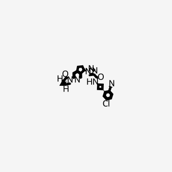 N#Cc1ccc(Cl)cc1[C@H]1C[C@@H](NC(=O)c2cn([C@@H]3CCc4cc(N5C[C@H]6C[C@H]6C5=O)ncc43)nn2)C1